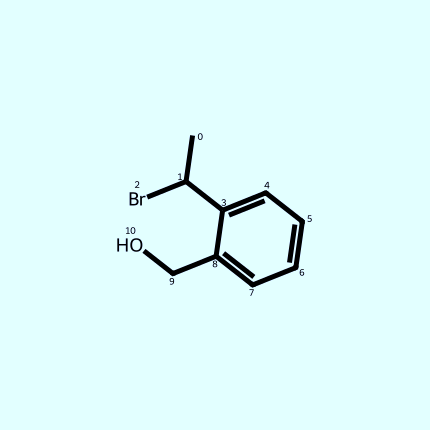 CC(Br)c1ccccc1CO